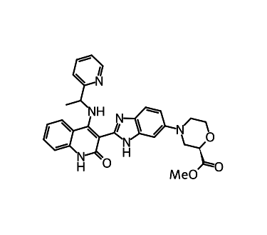 COC(=O)[C@H]1CN(c2ccc3nc(-c4c(NC(C)c5ccccn5)c5ccccc5[nH]c4=O)[nH]c3c2)CCO1